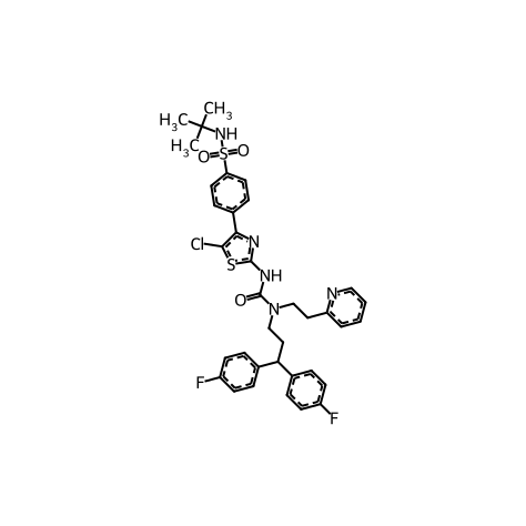 CC(C)(C)NS(=O)(=O)c1ccc(-c2nc(NC(=O)N(CCc3ccccn3)CCC(c3ccc(F)cc3)c3ccc(F)cc3)sc2Cl)cc1